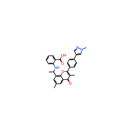 Cc1cc(C(C)Nc2ccccc2C(=O)O)c2oc(-c3ccc(-c4cnn(C)c4)cc3)c(C)c(=O)c2c1